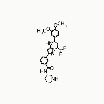 COc1ccc(C2CC(C(F)F)n3nc(-c4cccc(C(=O)N[C@H]5CCCNC5)c4)cc3N2)cc1OC